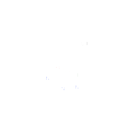 COc1ccc(S(=O)(=O)C(C#N)c2nccnc2Cl)cc1